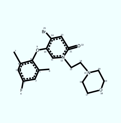 Cc1cc(F)cc(C)c1Oc1cn(CCN2CCOCC2)c(=O)cc1Br